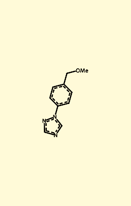 COCc1ccc(-n2cncn2)cc1